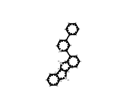 c1ccc(-c2ccnc(-c3cccc4c3oc3c5ccccc5oc43)c2)cc1